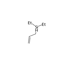 C=CC[SiH](CC)CC